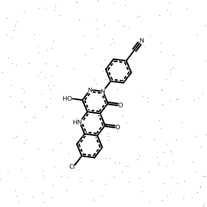 N#Cc1ccc(-n2nc(O)c3[nH]c4cc(Cl)ccc4c(=O)c3c2=O)cc1